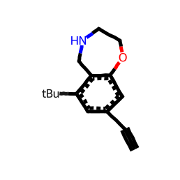 C#Cc1cc2c(c(C(C)(C)C)c1)CNCCO2